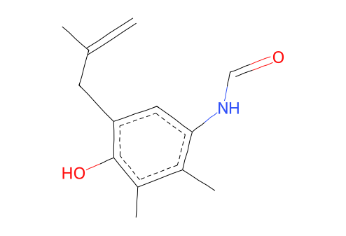 C=C(C)Cc1cc(NC=O)c(C)c(C)c1O